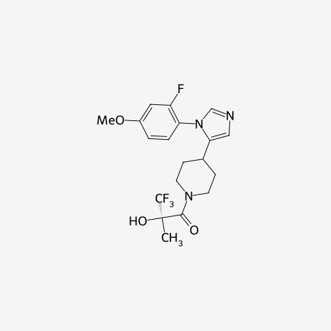 COc1ccc(-n2cncc2C2CCN(C(=O)[C@@](C)(O)C(F)(F)F)CC2)c(F)c1